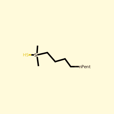 CCCCCCCCC[Si](C)(C)S